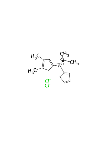 CC1=C(C)C[C]([Ti+2]([C]2=CC=CC2)=[Si](C)C)=C1.[Cl-].[Cl-]